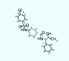 C[C@H](O)[C@@H](NC(=O)[C@H]1CC[C@H](NS(=O)(=O)c2ccc(C(F)(F)F)cc2)CC1)c1ccccc1